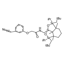 CC(C)[Si]1(CC(C)(C)C)O[Si]2(CNC(=O)COc3cccc(C=[N+]=[N-])c3)O[Si](CC(C)(C)C)(C(C)C)C3(C)CCCC1(C)C32C